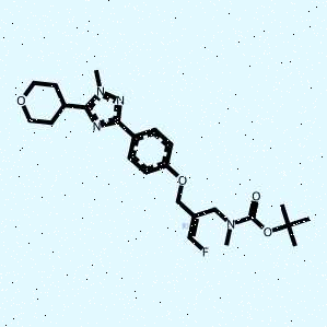 CN(C/C(=C\F)COc1ccc(-c2nc(C3CCOCC3)n(C)n2)cc1)C(=O)OC(C)(C)C